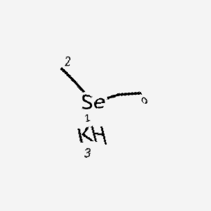 C[Se]C.[KH]